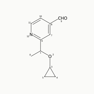 CC(OC1CC1)c1cc(C=O)ccn1